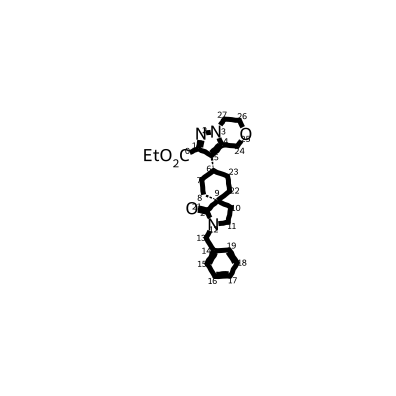 CCOC(=O)c1nn2c(c1[C@H]1CC[C@@]3(CCN(Cc4ccccc4)C3=O)CC1)COCC2